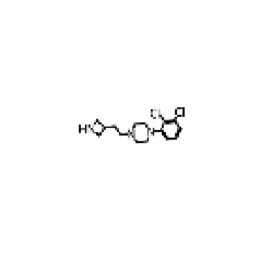 Clc1cccc(N2CCN(CCC3CNC3)CC2)c1Cl